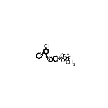 CC(OC(=O)N1CCC2(CCN(Cc3ccc(Cl)cc3N3CCCCC3)C2)CC1)C(F)(F)F